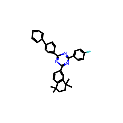 CC1(C)CCC(C)(C)c2cc(-c3nc(-c4ccc(F)cc4)nc(-c4ccc(-c5ccccc5)cc4)n3)ccc21